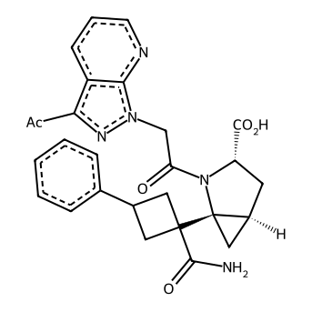 CC(=O)c1nn(CC(=O)N2[C@H](C(=O)O)C[C@H]3C[C@@]32C2(C(N)=O)CC(c3ccccc3)C2)c2ncccc12